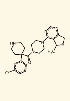 CC1SCc2ncnc(N3CCN(C(=O)C4(c5cccc(Cl)c5)CCNCC4)CC3)c21